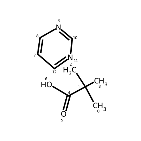 CC(C)(C)C(=O)O.c1cncnc1